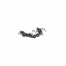 Cc1cc(=O)n(C)c2nc(NC3CCN(c4ccc(CN5CCC(O)(c6ccc7c(c6)CN(C6CCC(=O)NC6=O)C7=O)CC5)cc4)CC3)ncc12